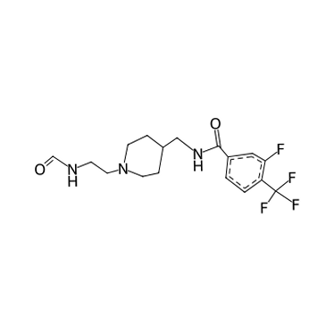 O=CNCCN1CCC(CNC(=O)c2ccc(C(F)(F)F)c(F)c2)CC1